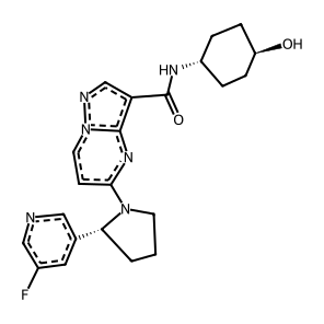 O=C(N[C@H]1CC[C@H](O)CC1)c1cnn2ccc(N3CCC[C@@H]3c3cncc(F)c3)nc12